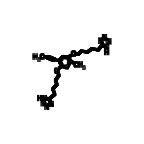 CC#Cc1cc(OCCCCCc2nnn[nH]2)c(C)cc1OCCCCCc1nnn[nH]1